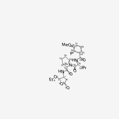 CCOC1OC(=O)CC1NC(=O)C1C2CCC(C2)N1C(=O)C(NC(=O)c1cccc(OC)c1F)C(C)C